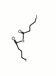 O=C(CCCI)SC(=O)CCCI